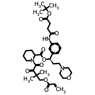 C=CC(=O)OCC(C)(C)C(=O)C(=O)N1CCCCC1C(=O)O[C@H](CCN1CCOCC1)c1cccc(NC(=O)CCC(=O)OC(C)(C)C)c1